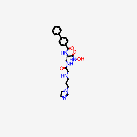 O=C(CNCCCN1C=NCC1)NC[C@H](NC(=O)c1ccc(-c2ccccc2)cc1)C(=O)NO